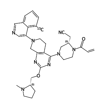 C=CC(=O)N1CCN(c2nc(OC[C@@H]3CCCN3C)nc3c2CCN(c2cncc4cccc([13CH3])c24)C3)C[C@@H]1CC#N